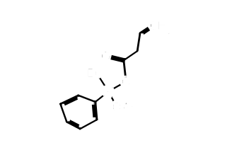 C=CCC(=O)O[Si](CC)(OC(C)=O)c1ccccc1